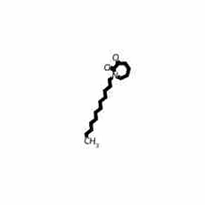 CCCCCCCCCCCCN1CCCCC(=O)C1=O